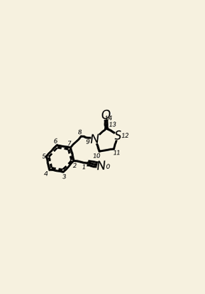 N#Cc1ccccc1CN1CCSC1=O